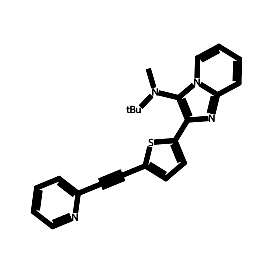 CN(c1c(-c2ccc(C#Cc3ccccn3)s2)nc2ccccn12)C(C)(C)C